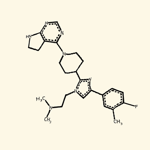 Cc1cc(-c2cn(CCN(C)C)c(C3CCN(c4ncnc5c4CCN5)CC3)n2)ccc1F